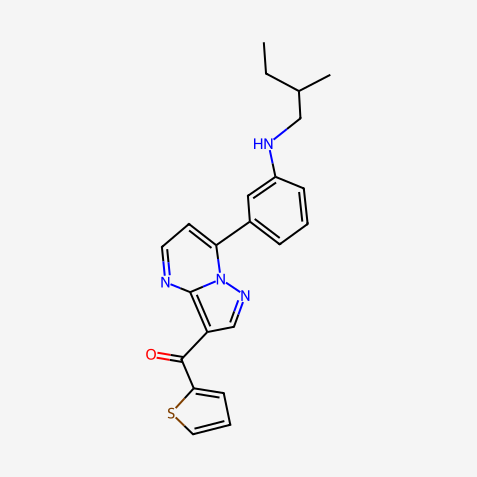 CCC(C)CNc1cccc(-c2ccnc3c(C(=O)c4cccs4)cnn23)c1